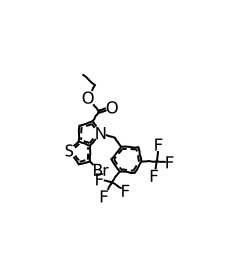 CCOC(=O)c1cc2scc(Br)c2n1Cc1cc(C(F)(F)F)cc(C(F)(F)F)c1